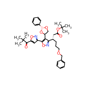 CC(C)(C)OC(=O)C[C@H](CCCOCc1ccccc1)c1noc(-c2cc(C(=O)C(C)(C)C)on2)c1C1COB(c2ccccc2)O1